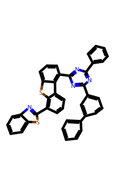 c1ccc(-c2cccc(-c3nc(-c4ccccc4)nc(-c4cccc5sc6c(-c7nc8ccccc8s7)cccc6c45)n3)c2)cc1